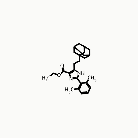 CCOC(=O)c1nc(-c2c(C)cccc2C)[nH]c1CCC12CC3CC(CC(C3)C1)C2